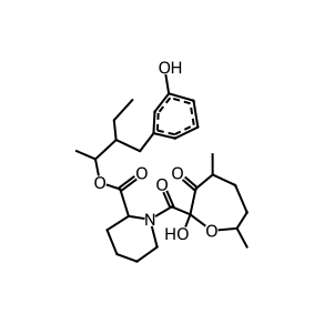 CCC(Cc1cccc(O)c1)C(C)OC(=O)C1CCCCN1C(=O)C1(O)OC(C)CCC(C)C1=O